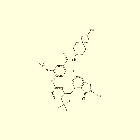 COc1cc(C(=O)NC2CCC3(CC2)CN(C)C3)c(Cl)cc1Nc1ncc(C(F)(F)F)c(Cc2cccc3c2C(=O)N(C)C3)n1